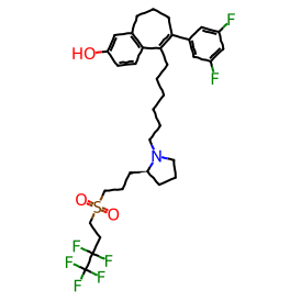 O=S(=O)(CCC[C@@H]1CCCN1CCCCCCC1=C(c2cc(F)cc(F)c2)CCCc2cc(O)ccc21)CCC(F)(F)C(F)(F)F